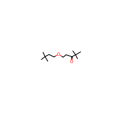 CC(C)(C)CCOCCC(=O)C(C)(C)C